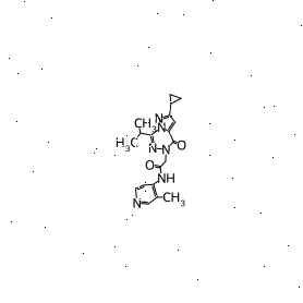 Cc1cnccc1NC(=O)Cn1nc(C(C)C)n2nc(C3CC3)cc2c1=O